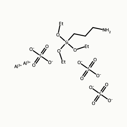 CCO[Si](CCCN)(OCC)OCC.O=S(=O)([O-])[O-].O=S(=O)([O-])[O-].O=S(=O)([O-])[O-].[Al+3].[Al+3]